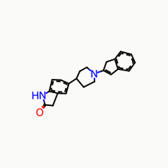 O=C1Cc2cc(C3CCN(C4=Cc5ccccc5C4)CC3)ccc2N1